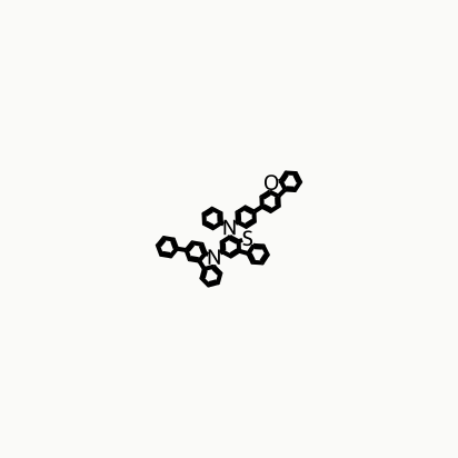 c1ccc(-c2ccc3c(c2)c2ccccc2n3-c2cc(N(c3ccccc3)c3ccc(-c4ccc5c(c4)oc4ccccc45)cc3)c3sc4ccccc4c3c2)cc1